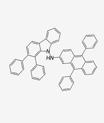 c1ccc(-c2ccc3c4ccccc4n(Nc4ccc5c(-c6ccccc6)c6ccccc6c(-c6ccccc6)c5c4)c3c2-c2ccccc2)cc1